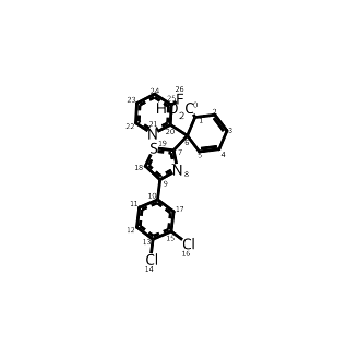 O=C(O)C1C=CC=CC1(c1nc(-c2ccc(Cl)c(Cl)c2)cs1)c1ncccc1F